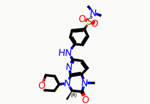 C[C@@H]1C(=O)N(C)c2ccc(Nc3ccc(S(=O)(=O)N(C)C)cc3)nc2N1C1CCOCC1